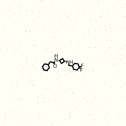 O=C(CC1CCCCC1)N[C@H]1C[C@H](NCC2CCC(F)(F)CC2)C1